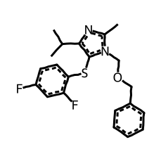 Cc1nc(C(C)C)c(Sc2ccc(F)cc2F)n1COCc1ccccc1